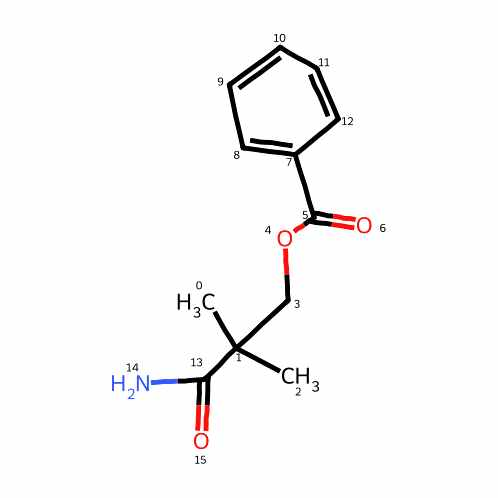 CC(C)(COC(=O)c1ccccc1)C(N)=O